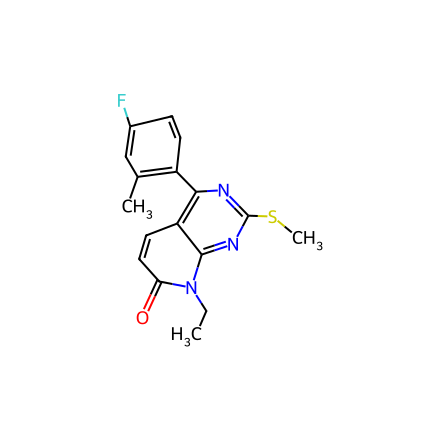 CCn1c(=O)ccc2c(-c3ccc(F)cc3C)nc(SC)nc21